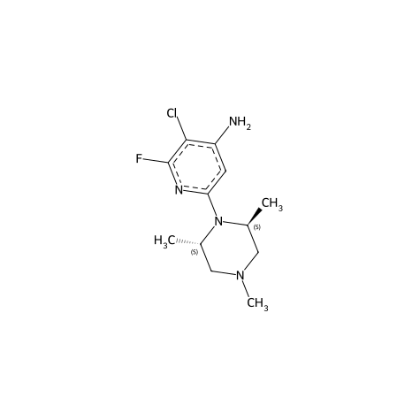 C[C@H]1CN(C)C[C@H](C)N1c1cc(N)c(Cl)c(F)n1